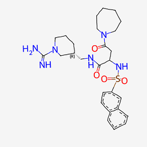 N=C(N)N1CCC[C@H](CNC(=O)C(CC(=O)N2CCCCCC2)NS(=O)(=O)c2ccc3ccccc3c2)C1